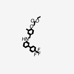 CCOC(=O)COc1ccc(CNc2cccc(-c3ccc(C(F)(F)F)cc3)c2)cc1C